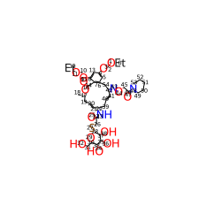 CCOCOc1cc2c(c(OCOCC)c1)C(=O)O[C@H](C)C/C=C/[C@@H](NC(=O)CS[C@H]1OC(CO)[C@H](O)C(O)[C@H]1O)C/C=C/C(=NOCC(=O)N1CCCCC1)C2